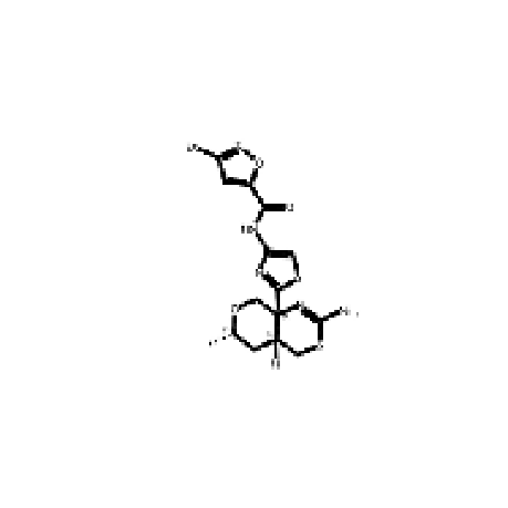 CCc1cc(C(=O)Nc2csc([C@]34CO[C@@H](C)C[C@H]3CSC(N)=N4)n2)on1